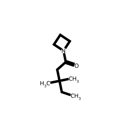 CCC(C)(C)CC(=O)N1CCC1